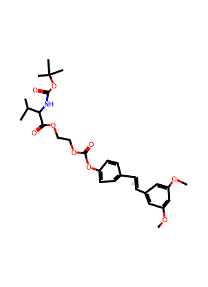 COc1cc(/C=C/c2ccc(OC(=O)OCCOC(=O)C(NC(=O)OC(C)(C)C)C(C)C)cc2)cc(OC)c1